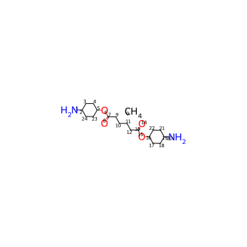 C.NC1CCC(OC(=O)CCCCC(=O)OC2CCC(N)CC2)CC1